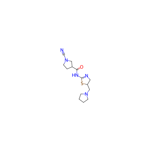 N#CN1CCC(C(=O)NC2=NCC(CN3CCCC3)S2)C1